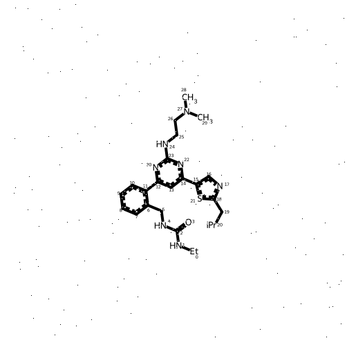 CCNC(=O)NCc1ccccc1-c1cc(-c2cnc(CC(C)C)s2)nc(NCCN(C)C)n1